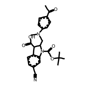 CC(=O)c1ccc(N(C)CC2C(C(=O)O)c3ccc(C#N)cc3N2C(=O)OC(C)(C)C)cc1